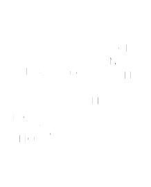 Cc1cc(C(O)(C(F)(F)F)C(F)(F)F)cc(C)c1OCCN(C)C